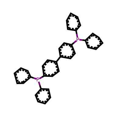 c1ccc(P(c2ccccc2)c2ccc(-c3ccc(P(c4ccccc4)c4ccccc4)cc3)cc2)cc1